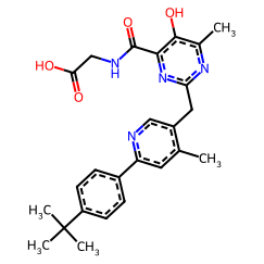 Cc1cc(-c2ccc(C(C)(C)C)cc2)ncc1Cc1nc(C)c(O)c(C(=O)NCC(=O)O)n1